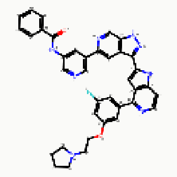 O=C(Nc1cncc(-c2cc3c(-c4cc5c(-c6cc(F)cc(OCCN7CCCC7)c6)nccc5[nH]4)n[nH]c3cn2)c1)c1ccccc1